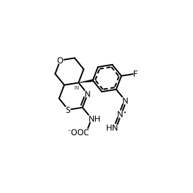 N=[N+]=Nc1cc([C@]23CCOCC2CSC(NC(=O)[O-])=N3)ccc1F